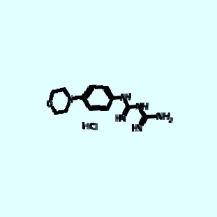 Cl.N=C(N)NC(=N)Nc1ccc(N2CCOCC2)cc1